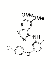 COc1cc2ncnc(Nc3cc(Oc4ccc(Cl)cc4)ccc3C)c2cc1OC